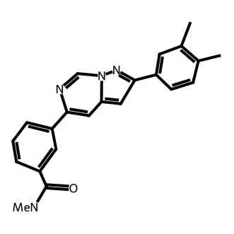 CNC(=O)c1cccc(-c2cc3cc(-c4ccc(C)c(C)c4)nn3cn2)c1